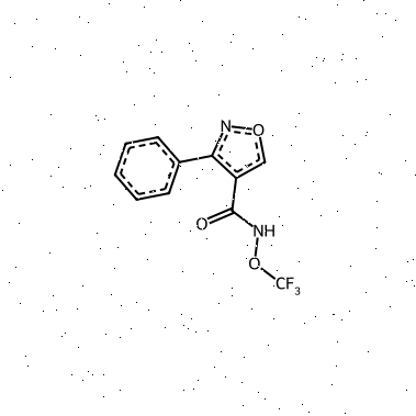 O=C(NOC(F)(F)F)c1conc1-c1ccccc1